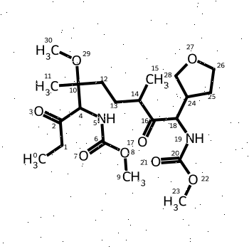 CCC(=O)C(NC(=O)OC)C(C)(CCC(C)C(=O)C(NC(=O)OC)C1CCOC1)OC